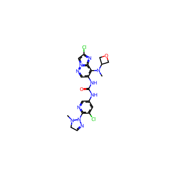 CN(c1c(NC(=O)Nc2cnc(N3N=CCN3C)c(Cl)c2)cnn2cc(Cl)nc12)C1COC1